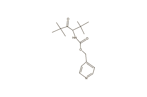 CC(C)(C)C(=O)C(NC(=O)OCc1ccncc1)C(C)(C)C